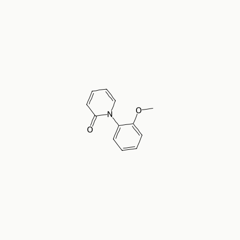 COc1ccccc1-n1ccccc1=O